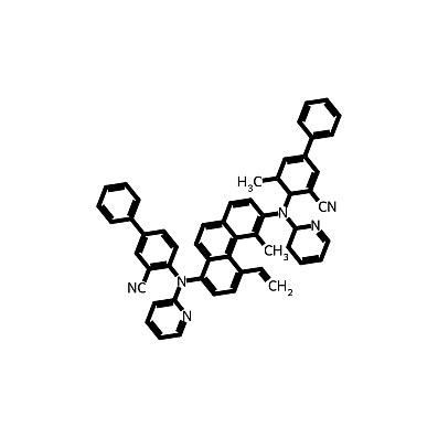 C=Cc1ccc(N(c2ccccn2)c2ccc(-c3ccccc3)cc2C#N)c2ccc3ccc(N(C4CC=CC=N4)C4C(C#N)=CC(c5ccccc5)=CC4C)c(C)c3c12